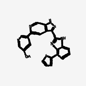 Oc1cncc(-c2cc3c(-c4nc5c(-c6cccs6)cccc5[nH]4)n[nH]c3cn2)c1